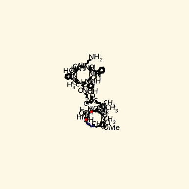 COc1cc2cc(c1Cl)N(C)C(=O)C[C@H](OC(=O)[C@H](C)N(C)C(=O)CCSC1CC(=O)N(CCCNC(=O)CC[C@H]3C(=O)N[C@@H](Cc4ccc(O)cc4)C(=O)N[C@H](Cc4c[nH]c5ccccc45)C(=O)N[C@@H](CCCCN)C(=O)NC([C@@H](C)O)C(=O)N[C@@H](Cc4ccccc4)C(=O)N3C)C1=O)[C@](C)(O)C[C@H](C)[C@@H]1C[C@](O)(C/C=C/C=C(\C)C2)NC(=O)O1